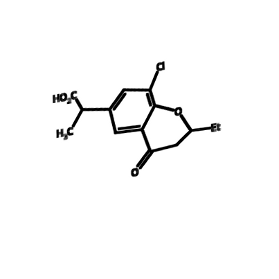 CCC1CC(=O)c2cc(C(C)C(=O)O)cc(Cl)c2O1